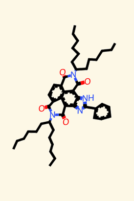 CCCCCCC(CCCCCC)N1C(=O)c2ccc3c4c(c5[nH]c(-c6ccccc6)nc5c(c24)C1=O)C(=O)N(C(CCCCCC)CCCCCC)C3=O